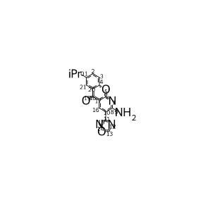 CC(C)c1ccc2oc3nc(N)c(-c4ncon4)cc3c(=O)c2c1